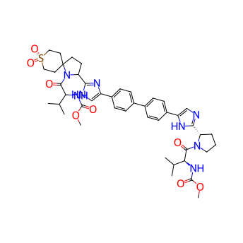 COC(=O)NC(C(=O)N1C(c2nc(-c3ccc(-c4ccc(-c5cnc([C@@H]6CCCN6C(=O)[C@@H](NC(=O)OC)C(C)C)[nH]5)cc4)cc3)c[nH]2)CCC12CCS(=O)(=O)CC2)C(C)C